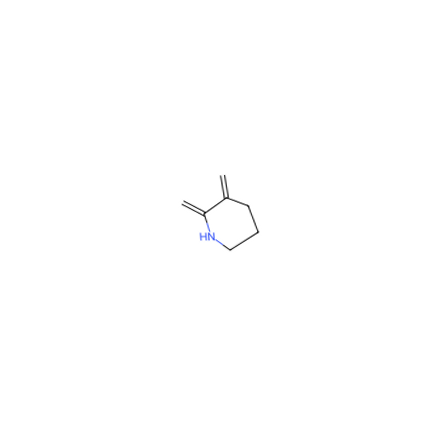 C=C1CCCNC1=C